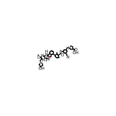 COc1nc(N[C@@H]2CCc3c(-c4cccc(-c5nc6cc(CN7CC[C@@H](C(=O)O)C7)cc(C#N)c6o5)c4C)cccc32)c(C(F)(F)F)nc1CN1CC[C@@H](O)C1